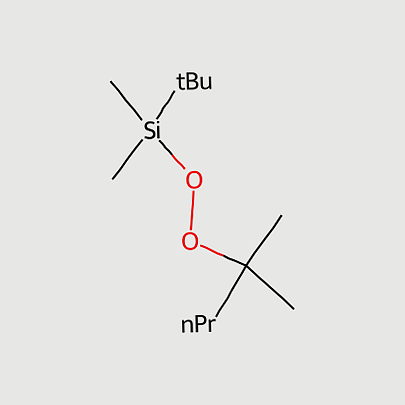 CCCC(C)(C)OO[Si](C)(C)C(C)(C)C